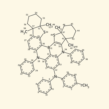 Cc1ccc(N(c2ccccc2)c2cc3c4c(c2)N(c2ccccc2)c2ccc5c(c2B4C2=C(N3c3ccccc3)C3(C)CCCCC3(C)S2)SC2(C)CCCCC52C)cc1